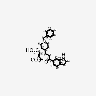 O=C(CCC1CCN(Cc2ccccc2)CC1)c1ccc2c(c1)NCC2.O=C(O)C=CC(=O)O